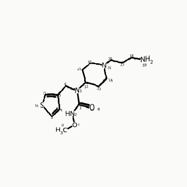 CONC(=O)N(Cc1ccsc1)C1CCN(CCCN)CC1